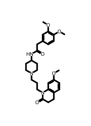 COc1ccc2c(c1)N(CCCN1CCC(NC(=O)Cc3ccc(OC)c(OC)c3)CC1)C(=O)CC2